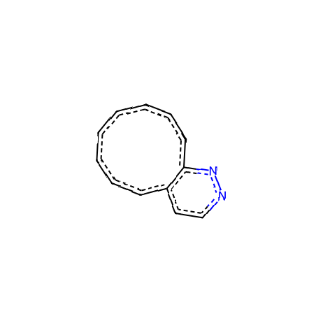 c1ccccc2nnccc2ccc1